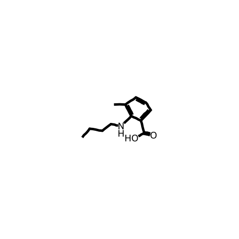 CCCCNc1c(C)cccc1C(=O)O